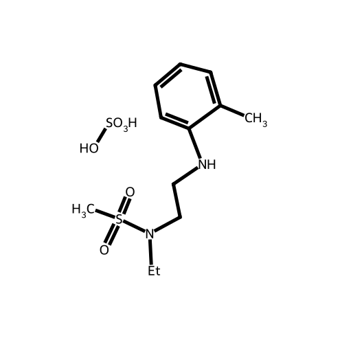 CCN(CCNc1ccccc1C)S(C)(=O)=O.O=S(=O)(O)O